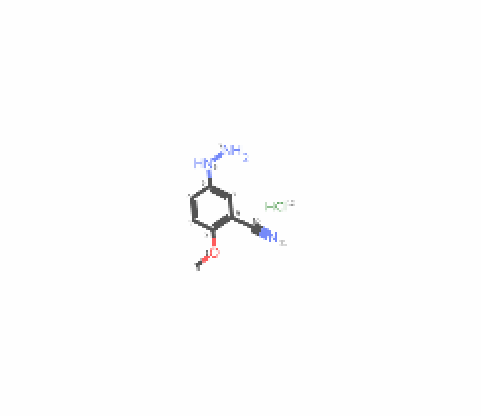 COc1ccc(NN)cc1C#N.Cl